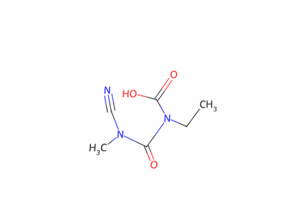 CCN(C(=O)O)C(=O)N(C)C#N